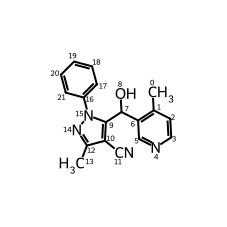 Cc1ccncc1C(O)c1c(C#N)c(C)nn1-c1ccccc1